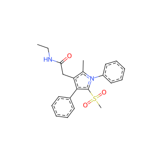 CCNC(=O)Cc1c(-c2ccccc2)c(S(C)(=O)=O)n(-c2ccccc2)c1C